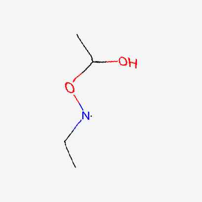 CC[N]OC(C)O